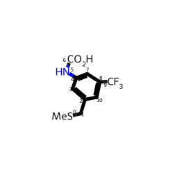 CSCc1cc(NC(=O)O)cc(C(F)(F)F)c1